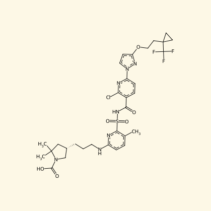 Cc1ccc(NCCC[C@@H]2CN(C(=O)O)C(C)(C)C2)nc1S(=O)(=O)NC(=O)c1ccc(-n2ccc(OCCC3(C(F)(F)F)CC3)n2)nc1Cl